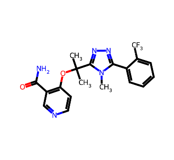 Cn1c(-c2ccccc2C(F)(F)F)nnc1C(C)(C)Oc1ccncc1C(N)=O